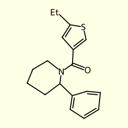 CCc1cc(C(=O)N2CCCCC2c2ccccc2)cs1